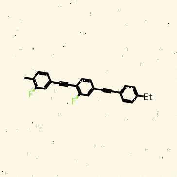 CCc1ccc(C#Cc2ccc(C#Cc3ccc(C)c(F)c3)c(F)c2)cc1